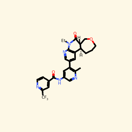 CCN1C(=O)[C@@H]2COCCC[C@H]2c2cc(-c3cc(NC(=O)c4ccnc(C(F)(F)F)c4)cnc3C)cnc21